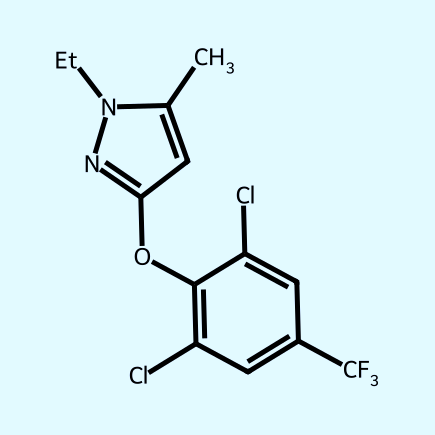 CCn1nc(Oc2c(Cl)cc(C(F)(F)F)cc2Cl)cc1C